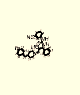 N#Cc1cccc(NC(=O)N[C@@H](c2ccccc2)[C@@H](O)CN2CCC(Cc3ccc(F)cc3)CC2)c1